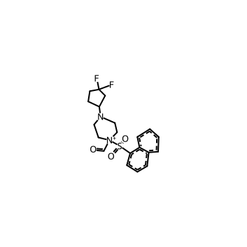 O=C[N+]1(S(=O)(=O)c2cccc3ccccc23)CCN(C2CCC(F)(F)C2)CC1